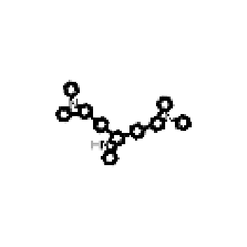 c1ccc(-n2c3ccccc3c3cc(-c4ccc(-c5cc(-c6ccc(-c7ccc8c(c7)c7ccccc7n8-c7ccccc7)cc6)c6[nH]c7ccccc7c6c5)cc4)ccc32)cc1